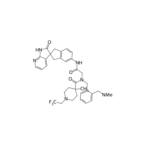 CNCc1ccccc1CN(CC(=O)Nc1ccc2c(c1)CC1(C2)C(=O)Nc2ncccc21)C(=O)C1(C)CCN(CC(F)(F)F)CC1